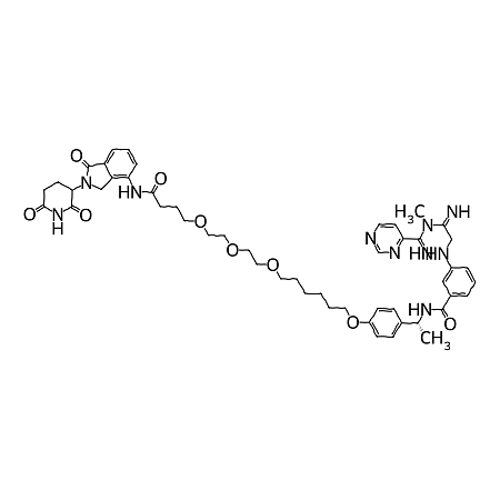 C[C@@H](NC(=O)c1cccc(NCC(=N)N(C)C(=N)c2ccncn2)c1)c1ccc(OCCCCCCOCCOCCOCCCC(=O)Nc2cccc3c2CN(C2CCC(=O)NC2=O)C3=O)cc1